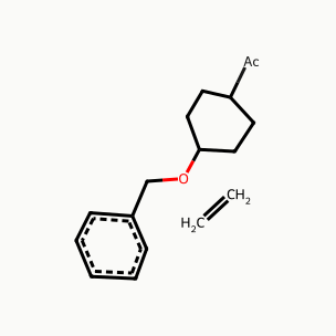 C=C.CC(=O)C1CCC(OCc2ccccc2)CC1